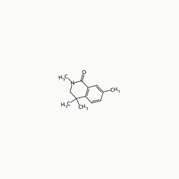 Cc1ccc2c(c1)C(=O)N(C)CC2(C)C